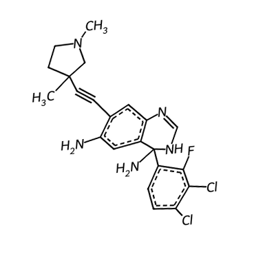 CN1CCC(C)(C#Cc2cc3c(cc2N)C(N)(c2ccc(Cl)c(Cl)c2F)NC=N3)C1